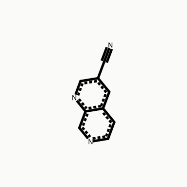 N#Cc1cnc2cnccc2c1